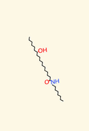 CCCCCCCCNC(=O)CCCCCCCCCCC(O)CCCCCC